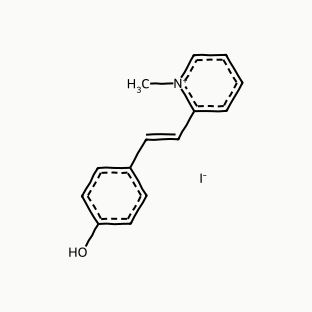 C[n+]1ccccc1C=Cc1ccc(O)cc1.[I-]